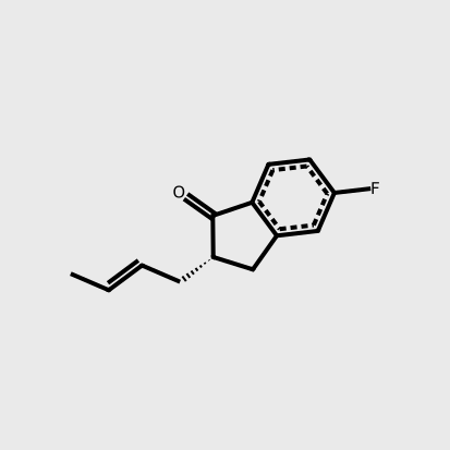 CC=CC[C@H]1Cc2cc(F)ccc2C1=O